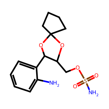 Nc1ccccc1C1OC2(CCCC2)OC1COS(N)(=O)=O